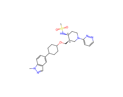 Cn1ncc2cc(C3CCC(OC[C@@H]4CN(c5cccnn5)CC[C@@H]4NS(C)(=O)=O)CC3)ccc21